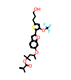 C=C(C)C(=O)OC(C)(C)CC(C)Oc1ccc2cc(-c3sc(CCCO)cc3OC(F)(F)F)oc2c1